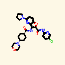 O=C(Nc1ccc(Cl)cn1)c1oc2ccc(N3CCCC3)nc2c1NC(=O)[C@H]1CC[C@H](N2CCOCC2)CC1